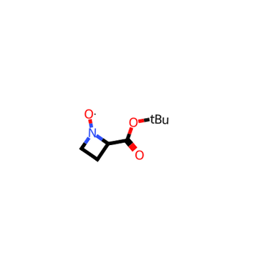 CC(C)(C)OC(=O)C1CCN1[O]